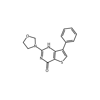 O=c1nc(N2CCOC2)[nH]c2c(-c3ccccc3)csc12